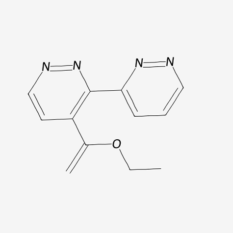 C=C(OCC)c1ccnnc1-c1cccnn1